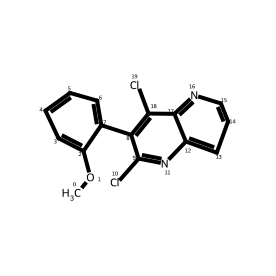 COc1ccccc1-c1c(Cl)nc2cccnc2c1Cl